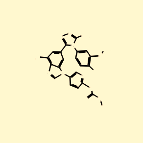 COC(=O)Nc1ccc(-n2cnc3c(C)cc(-c4nnc(C)n4-c4ccc(F)c(OC)c4)cc32)cn1